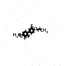 CCCOc1ccc(-c2ccc(OC)c(F)c2F)cc1F